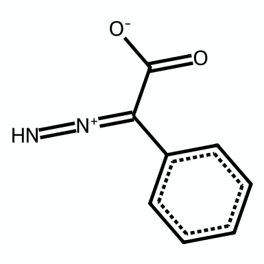 N=[N+]=C(C(=O)[O-])c1ccccc1